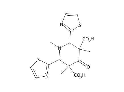 CN1C(c2nccs2)C(C)(C(=O)O)C(=O)C(C)(C(=O)O)C1c1nccs1